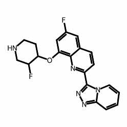 Fc1cc(OC2CCNCC2F)c2nc(-c3nnc4ccccn34)ccc2c1